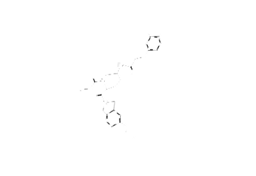 CC(C)(C)OC(=O)N1CC(NC(=O)COc2ccc(Cl)c(F)c2)CCC1C(=O)N1Cc2ccc(OC(F)(F)F)cc2C1